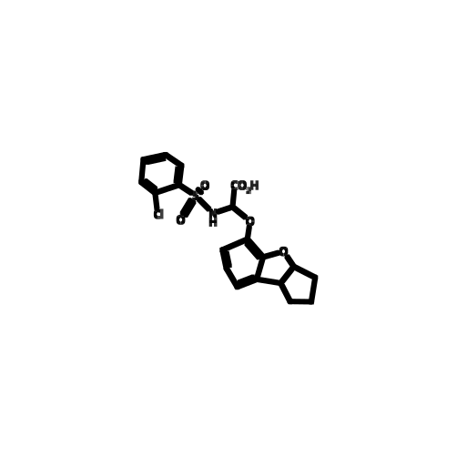 O=C(O)C(NS(=O)(=O)c1ccccc1Cl)Oc1cccc2c1OC1CCCC21